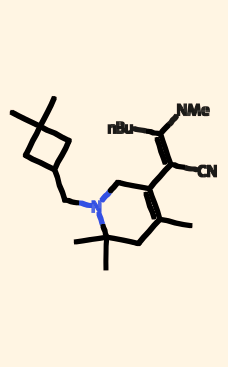 CCCC/C(NC)=C(/C#N)C1=C(C)CC(C)(C)N(CC2CC(C)(C)C2)C1